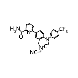 N#CCN1CCN(c2ccc(C(F)(F)F)cc2)c2ccc(-c3cccc(C(N)=O)n3)cc2C1